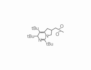 CC(C)(C)C1=NC(C(C)(C)C)C(C(C)(C)C)=C2CC(CS(C)(=O)=O)CN12